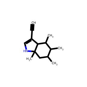 C#CC1=CNC2(C)CC(C)C(C)C(C)C12